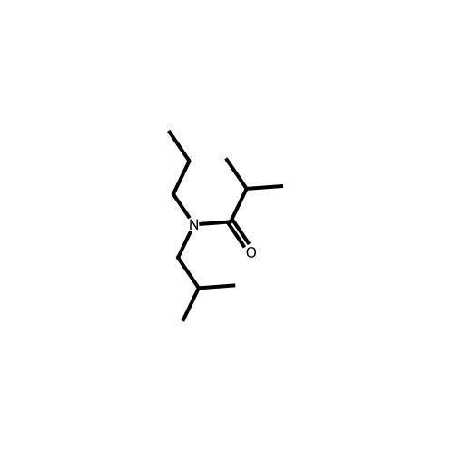 CCCN(CC(C)C)C(=O)C(C)C